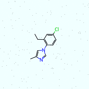 CCc1cc(Cl)ccc1-n1cnc(C)c1